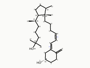 C=C1CC[C@H](O)C/C1=C/C=C\CCC[C@@]1(C)C(C)CCC1[C@H](C)CCCC(C)(C)O